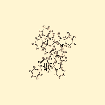 CC1(C)c2ccccc2-c2cccc(N(c3ccc(-c4ccccc4)cc3)c3ccc4c5c3-c3ccccc3-n3c6cccc(F)c6c6ccc(c-5c63)C43c4ccccc4-c4ccccc43)c21